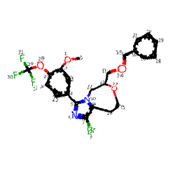 COc1cc(-c2nc(Br)c3n2CC(COCc2ccccc2)OCC3)ccc1OC(F)(F)F